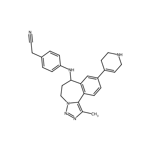 Cc1nnn2c1-c1ccc(C3=CCNCC3)cc1C(Nc1ccc(CC#N)cc1)CC2